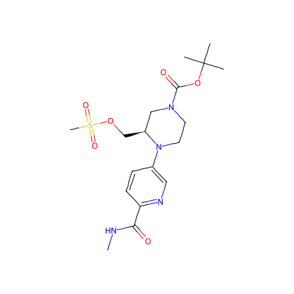 CNC(=O)c1ccc(N2CCN(C(=O)OC(C)(C)C)C[C@@H]2COS(C)(=O)=O)cn1